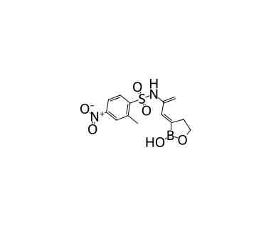 C=C(C=C1CCOB1O)NS(=O)(=O)c1ccc([N+](=O)[O-])cc1C